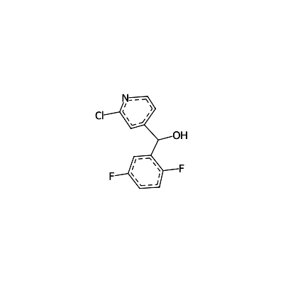 OC(c1ccnc(Cl)c1)c1cc(F)ccc1F